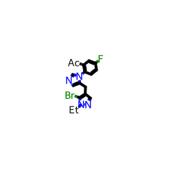 CCn1ncc(Cc2cncn2-c2ccc(F)cc2C(C)=O)c1Br